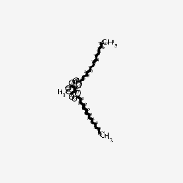 CCCCCCCCCCCCCCCC(=O)OC(C(C)=O)C(OC(=O)CCCCCCCCCCCCCCC)C(=O)O